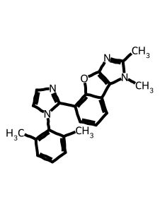 Cc1cccc(C)c1-n1ccnc1-c1cccc2c1oc1nc(C)n(C)c12